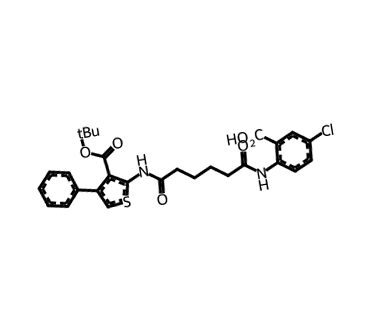 CC(C)(C)OC(=O)c1c(-c2ccccc2)csc1NC(=O)CCCCC(=O)Nc1ccc(Cl)cc1C(=O)O